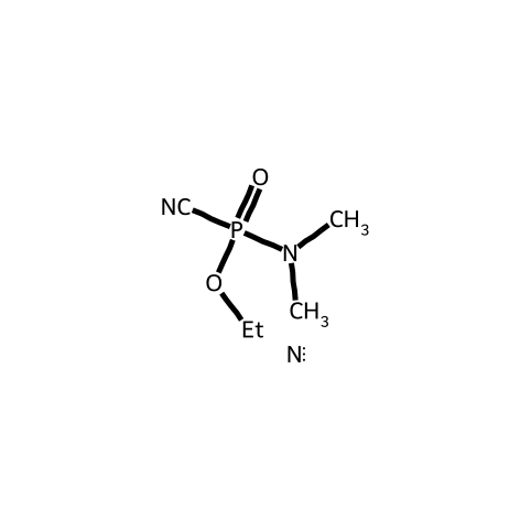 CCOP(=O)(C#N)N(C)C.[N]